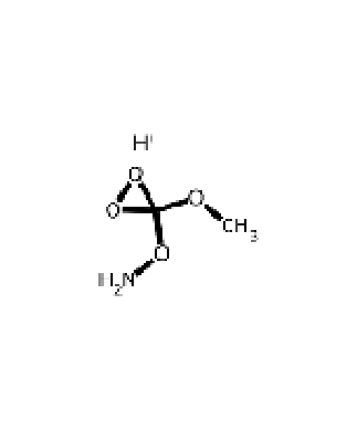 COC1(ON)OO1.[H+]